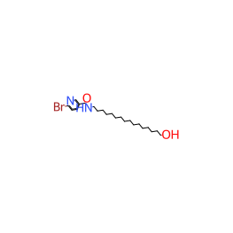 O=C(NCCCCCCCCCCCCCCCCO)c1ccc(Br)nc1